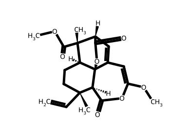 C=C[C@]1(C)CC[C@H]2[C@](C)(C(=O)OC)[C@@H]3C=C4C=C(OC)OC(=O)[C@@H]1[C@@]42OC3=O